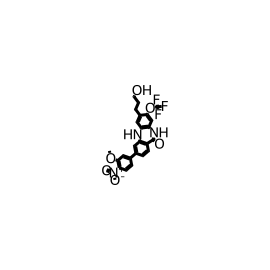 COc1cc(-c2ccc3c(c2)Nc2cc(CCCO)c(OC(F)(F)F)cc2NC3=O)ccc1[N+](=O)[O-]